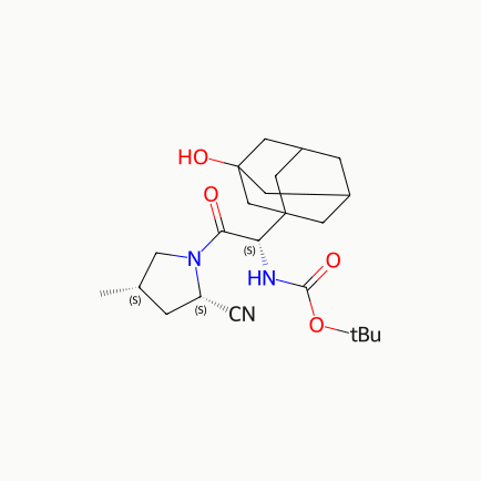 C[C@H]1C[C@@H](C#N)N(C(=O)[C@@H](NC(=O)OC(C)(C)C)C23CC4CC(CC(O)(C4)C2)C3)C1